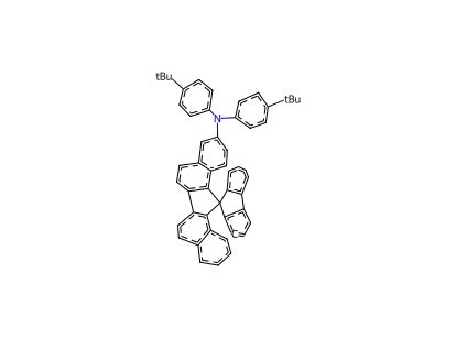 CC(C)(C)c1ccc(N(c2ccc(C(C)(C)C)cc2)c2ccc3c4c(ccc3c2)-c2ccc3ccccc3c2C42c3ccccc3-c3ccccc32)cc1